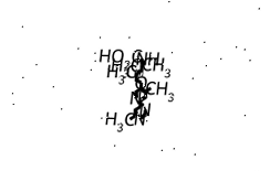 Cc1cc(-c2cc(C)c(OC[C@@H](C)CC(C)(C)NC(=O)O)cn2)ncn1